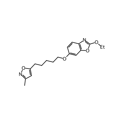 CCOc1nc2ccc(OCCCCCc3cc(C)no3)cc2o1